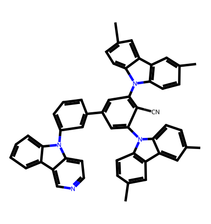 Cc1ccc2c(c1)c1cc(C)ccc1n2-c1cc(-c2cccc(-n3c4ccccc4c4cnccc43)c2)cc(-n2c3ccc(C)cc3c3cc(C)ccc32)c1C#N